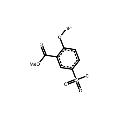 CCCOc1ccc(S(=O)(=O)Cl)cc1C(=O)OC